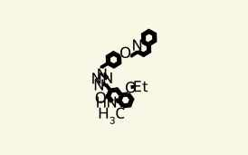 CCOc1ccc(C)c2[nH]c(=O)c(-c3nnn(Cc4ccc(OCc5ccc6ccccc6n5)cc4)n3)cc12